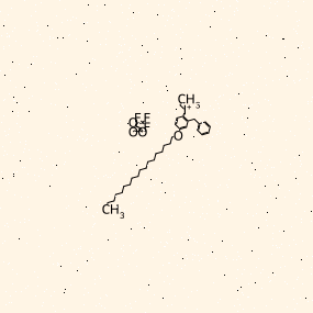 CCCCCCCCCCCCCCCCCCOc1ccc([I+]CC)c(Cc2ccccc2)c1.O=S(=O)([O-])C(F)(F)F